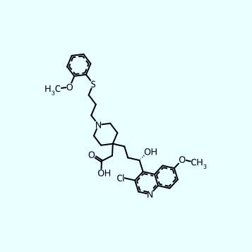 COc1ccc2ncc(Cl)c([C@@H](O)CCC3(CC(=O)O)CCN(CCCSc4ccccc4OC)CC3)c2c1